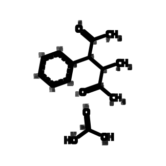 CC(=O)C(C)C(C(C)=O)c1ccccc1.O=C(O)O